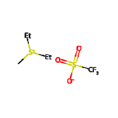 CC[S+](C)CC.O=S(=O)([O-])C(F)(F)F